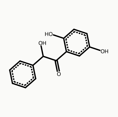 O=C(c1cc(O)ccc1O)C(O)c1ccccc1